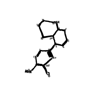 CNc1ncc(N2CCCC3NCCCC32)nc1Cl